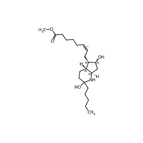 CCCCCC1(O)CC[C@@H]2[C@@H](C/C=C\CCCCC(=O)OC)[C@@H](O)C[C@H]2N1